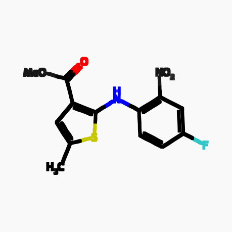 COC(=O)c1cc(C)sc1Nc1ccc(F)cc1[N+](=O)[O-]